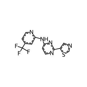 FC(F)(F)c1ccnc(Nc2ccnc(-c3cncs3)n2)c1